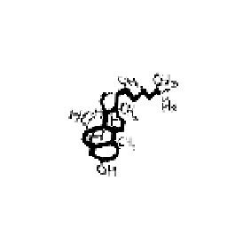 CC(C)CCC[C@@H](C)[C@H]1CC[C@H]2[C@@H]3[C@@H](O)C=C4CC(O)CC[C@]4(C)[C@H]3CC[C@]12C